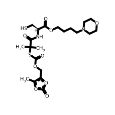 Cc1oc(=O)oc1COC(=O)SC(C)(C)C(=O)N[C@@H](CS)C(=O)OCCCCN1CCOCC1